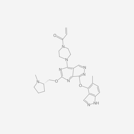 C=CC(=O)N1CCN(c2nc(OC[C@@H]3CCCN3C)nc3c(Oc4c(C)ccc5[nH]ncc45)nncc23)CC1